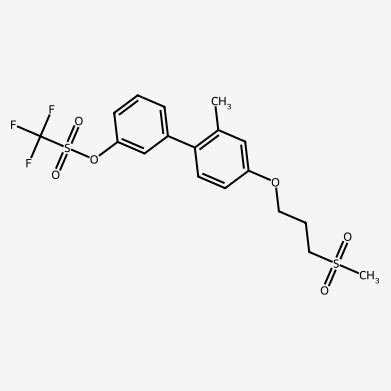 Cc1cc(OCCCS(C)(=O)=O)ccc1-c1cccc(OS(=O)(=O)C(F)(F)F)c1